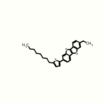 CCCCCCCCc1ccc(-c2ccc3c(c2)sc2c4ccc(CC)cc4sc32)s1